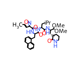 COC(OC)C(C[C@@H]1CCCNC1=O)NC(=O)C(CC(C)C)NC(=O)C(Cc1cccc2ccccc12)NC(=O)c1cc(C)on1